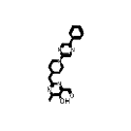 Cc1nc(CC2CCN(c3cnc(-c4ccccc4)cn3)CC2)nc([C]=O)c1O